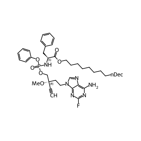 C#C[C@](CCn1cnc2c(N)nc(F)nc21)(COP(=O)(N[C@@H](Cc1ccccc1)C(=O)OCCCCCCCCCCCCCCCCCC)Oc1ccccc1)OC